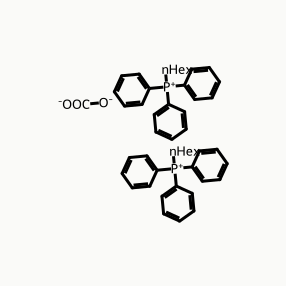 CCCCCC[P+](c1ccccc1)(c1ccccc1)c1ccccc1.CCCCCC[P+](c1ccccc1)(c1ccccc1)c1ccccc1.O=C([O-])[O-]